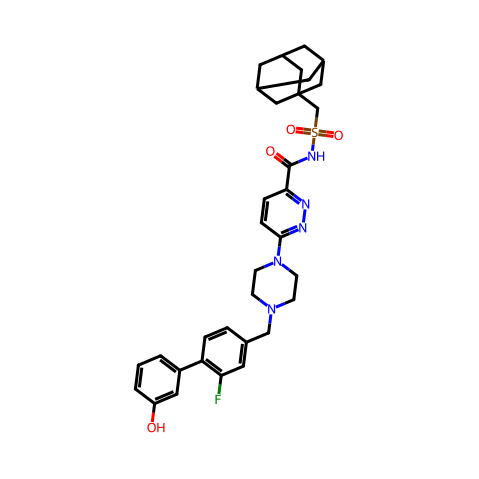 O=C(NS(=O)(=O)CC12CC3CC(CC(C3)C1)C2)c1ccc(N2CCN(Cc3ccc(-c4cccc(O)c4)c(F)c3)CC2)nn1